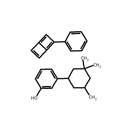 CC1CC(c2cccc(O)c2)CC(C)(C)C1.c1ccc(-c2cc3ccc2-3)cc1